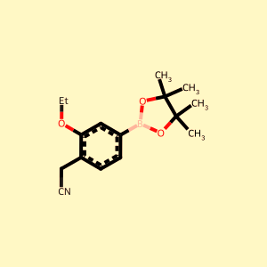 CCOc1cc(B2OC(C)(C)C(C)(C)O2)ccc1CC#N